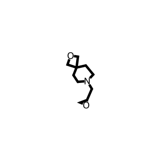 C1OC1CN1CCC2(CC1)COC2